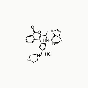 CC(Nc1ncnc2ccsc12)c1oc(=O)c2ccccc2c1-c1ccc(CN2CCOCC2)s1.Cl